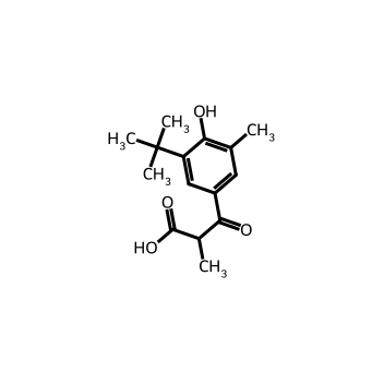 Cc1cc(C(=O)C(C)C(=O)O)cc(C(C)(C)C)c1O